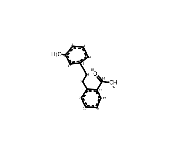 Cc1cccc(CCc2ccccc2C(=O)O)c1